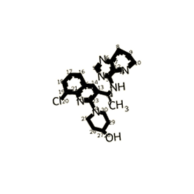 C[C@H](Nc1ncnc2cccnc12)c1cc2cccc(Cl)c2nc1N1CCC(O)CC1